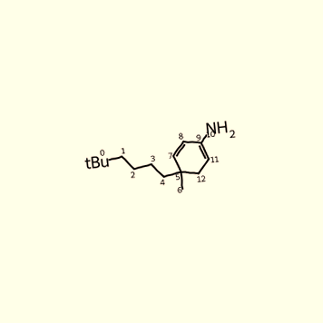 CC(C)(C)CCCCC1(C)C=CC(N)=CC1